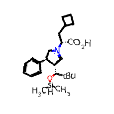 C[SiH](C)OC([C@H]1CN([C@H](CC2CCC2)C(=O)O)C[C@@H]1c1ccccc1)C(C)(C)C